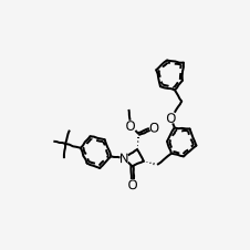 COC(=O)[C@@H]1[C@H](Cc2cccc(OCc3ccccc3)c2)C(=O)N1c1ccc(C(C)(C)C)cc1